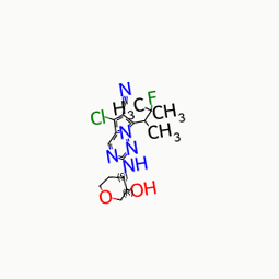 CC(c1c(C#N)c(Cl)c2cnc(N[C@H]3CCOC[C@@H]3O)nn12)C(C)(C)F